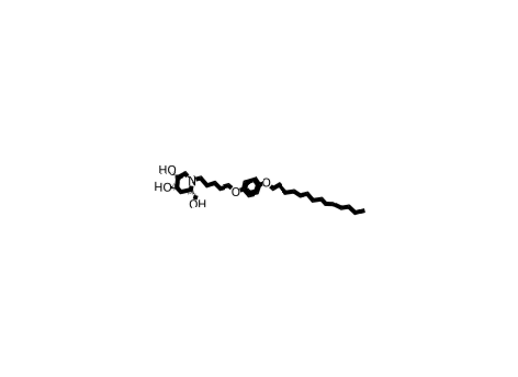 CCCCCCCCCCCCCCOc1ccc(OCCCCCN2C[C@H](O)[C@@H](O)C[C@H]2CO)cc1